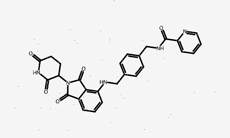 O=C1CCC(N2C(=O)c3cccc(NCc4ccc(CNC(=O)c5ccccn5)cc4)c3C2=O)C(=O)N1